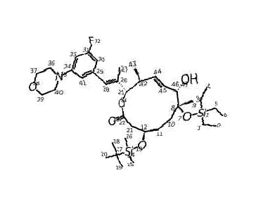 CC[Si](CC)(CC)O[C@]1(C)CC[C@@H](O[Si](C)(C)C(C)(C)C)CC(=O)O[C@H](/C(C)=C/c2cc(F)cc(N3CCOCC3)c2)[C@@H](C)/C=C/[C@@H]1O